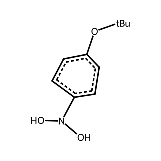 CC(C)(C)Oc1ccc(N(O)O)cc1